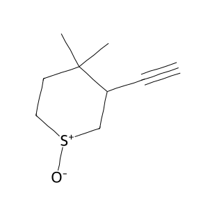 C#CC1C[S+]([O-])CCC1(C)C